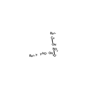 O.O=[N+]([O-])[O-].[Ba+2].[Ba+2].[OH-].[OH][Cu].[Y].[Y]